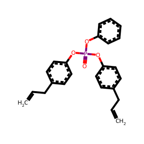 C=CCc1ccc(OP(=O)(Oc2ccccc2)Oc2ccc(CC=C)cc2)cc1